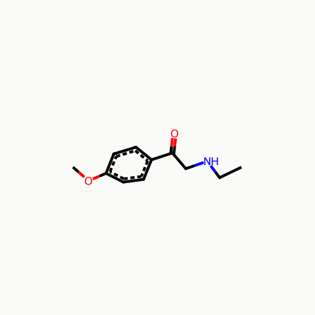 CCNCC(=O)c1ccc(OC)cc1